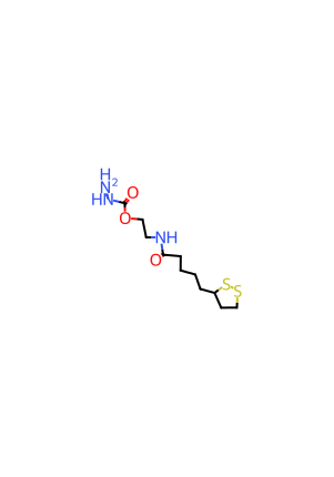 NNC(=O)OCCNC(=O)CCCCC1CCSS1